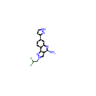 Nc1nc2cc(-c3cc[nH]n3)ccc2c2nn(CC(F)F)cc12